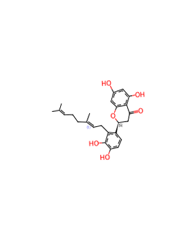 CC(C)=CCC/C(C)=C/Cc1c([C@@H]2CC(=O)c3c(O)cc(O)cc3O2)ccc(O)c1O